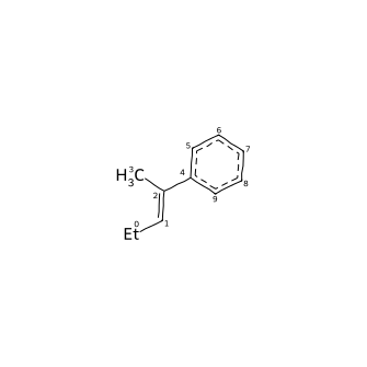 CCC=C(C)c1ccccc1